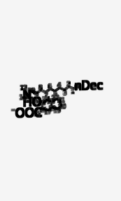 CCCCCCCCCCCCCCCCCCCC[N+](C)(C)C.O=C([O-])c1cc2ccccc2cc1O